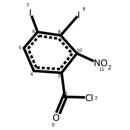 O=C(Cl)c1ccc(I)c(I)c1[N+](=O)[O-]